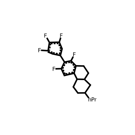 CCCC1CCC2c3cc(F)c(-c4cc(F)c(F)c(F)c4)c(F)c3CCC2C1